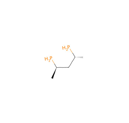 C[C@@H](P)C[C@@H](C)P